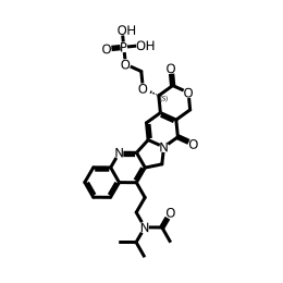 CC(=O)N(CCc1c2c(nc3ccccc13)-c1cc3c(c(=O)n1C2)COC(=O)[C@H]3OCOP(=O)(O)O)C(C)C